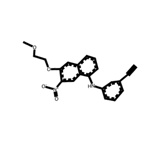 C#Cc1cccc(Nc2cccc3cc(OCCOC)c([N+](=O)[O-])cc23)c1